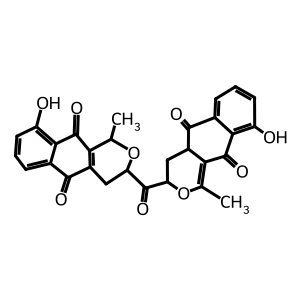 CC1=C2C(=O)c3c(O)cccc3C(=O)C2CC(C(=O)C2CC3=C(C(=O)c4c(O)cccc4C3=O)C(C)O2)O1